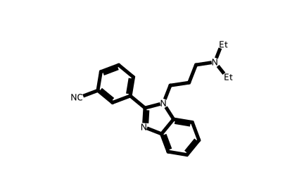 CCN(CC)CCCn1c(-c2cccc(C#N)c2)nc2ccccc21